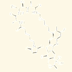 C=C1OCc2c(cc3n(c2=O)Cc2cc4c(CCCCOCNC(=O)[C@H](C)NC(=O)[C@@H](NC(=O)[C@H](C)NC(=O)CCCCCN5C(=O)C=CC5=O)C(C)C)c(C)c(F)cc4nc2-3)[C@@]1(O)CC